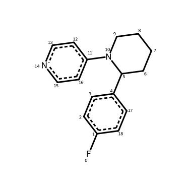 Fc1ccc(C2CCCCN2c2ccncc2)cc1